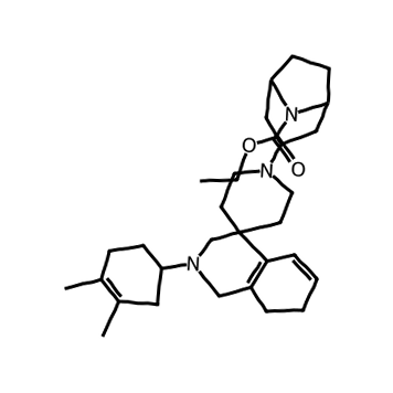 CCOC(=O)N1C2CCC1CC(N1CCC3(CC1)CN(C1CCC(C)=C(C)C1)CC1=C3C=CCC1)C2